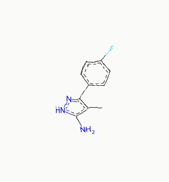 Cc1c(-c2ccc(F)cc2)n[nH]c1N